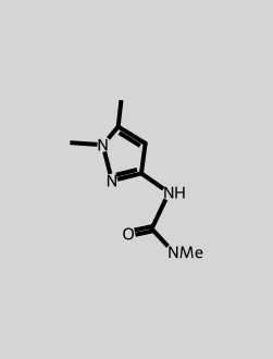 CNC(=O)Nc1cc(C)n(C)n1